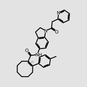 Cc1ccc(/C2=C(\C(=O)Nc3ccc4c(c3)CCN4C(=O)Cc3ccccn3)CCCCCC2)cc1